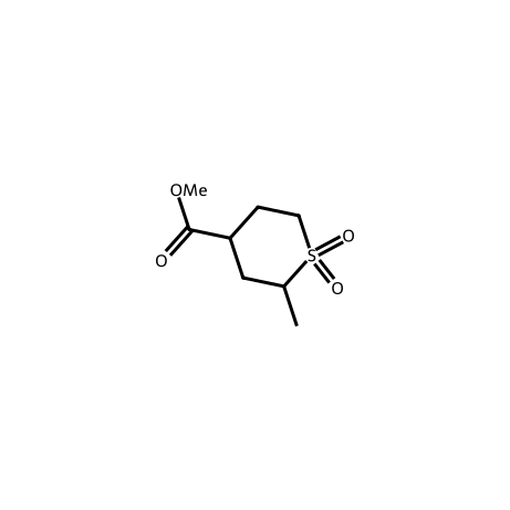 COC(=O)C1CCS(=O)(=O)C(C)C1